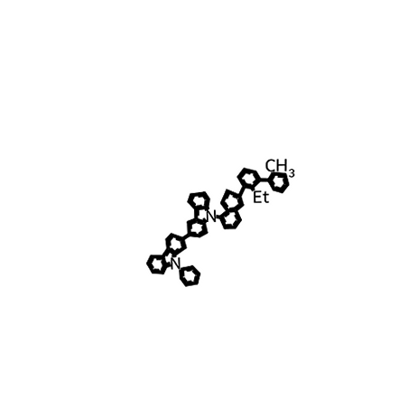 CCc1c(-c2ccc3c(-n4c5ccccc5c5cc(-c6ccc7c8ccccc8n(-c8ccccc8)c7c6)ccc54)cccc3c2)cccc1-c1ccccc1C